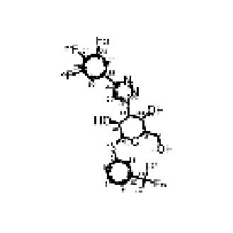 OCC1OC(Sc2cccc(C(F)(F)F)c2)C(O)C(n2cc(-c3cc(F)c(F)c(F)c3)nn2)C1O